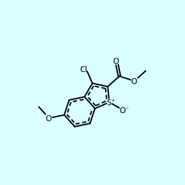 COC(=O)c1c(Cl)c2cc(OC)ccc2[s+]1[O-]